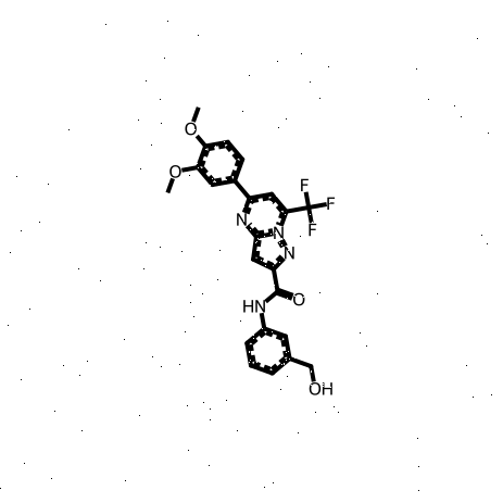 COc1ccc(-c2cc(C(F)(F)F)n3nc(C(=O)Nc4cccc(CO)c4)cc3n2)cc1OC